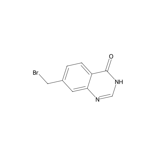 O=c1[nH]cnc2cc(CBr)ccc12